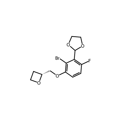 Fc1ccc(OC[C@H]2CCO2)c(Br)c1C1OCCO1